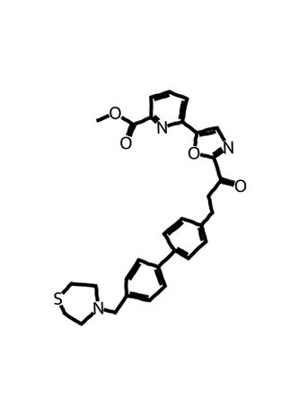 COC(=O)c1cccc(-c2cnc(C(=O)CCc3ccc(-c4ccc(CN5CCSCC5)cc4)cc3)o2)n1